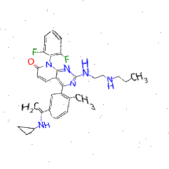 C=C(NC1CC1)c1ccc(C)c(-c2nc(NCCNCCC)nc3c2ccc(=O)n3-c2c(F)cccc2F)c1